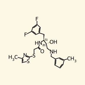 Cc1cccc(CNC[C@@H](O)[C@H](Cc2cc(F)cc(F)c2)NC(=O)CSc2nc(C)cs2)c1